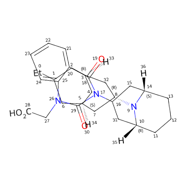 CCC1C[C@@H]2C[C@H](C1)C[C@@H](N1[C@@H]3CCC[C@H]1CC(n1c(=O)c4ccccc4n(CC(=O)O)c1=O)C3)C2